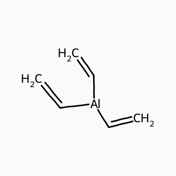 C=[CH][Al]([CH]=C)[CH]=C